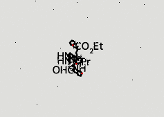 CCOC(=O)C(CCCC(C(=O)CC(CC(C)C)C(=O)NC(C=O)Cc1ccccc1)C1CCNC(=N)N1)Cc1ccccc1